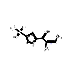 C/C=C(\C(=N)c1cc(S(C)(=O)=O)cs1)C(F)(F)F